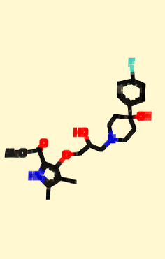 COC(=O)c1[nH]c(C)c(C)c1OCC(O)CN1CCC(O)(c2ccc(F)cc2)CC1